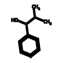 CC(C)C(O)c1cc[c]cc1